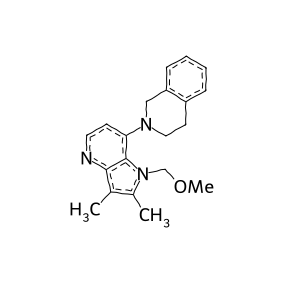 COCn1c(C)c(C)c2nccc(N3CCc4ccccc4C3)c21